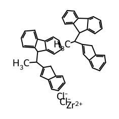 CC(C1=Cc2ccccc2C1)C1c2ccccc2-c2ccccc21.CC(C1=Cc2ccccc2C1)C1c2ccccc2-c2ccccc21.[Cl-].[Cl-].[Zr+2]